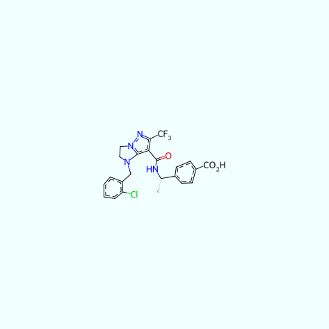 C[C@H](NC(=O)c1c(C(F)(F)F)nn2c1N(Cc1ccccc1Cl)CC2)c1ccc(C(=O)O)cc1